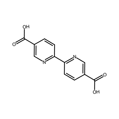 O=C(O)c1ccc(-c2ccc(C(=O)O)cn2)nc1